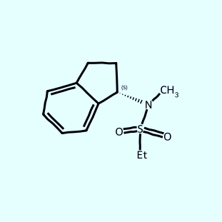 CCS(=O)(=O)N(C)[C@H]1CCc2ccccc21